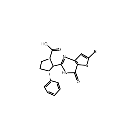 O=C(O)N1CC[C@@H](c2ccccc2)C1c1nc2cc(Br)sc2c(=O)[nH]1